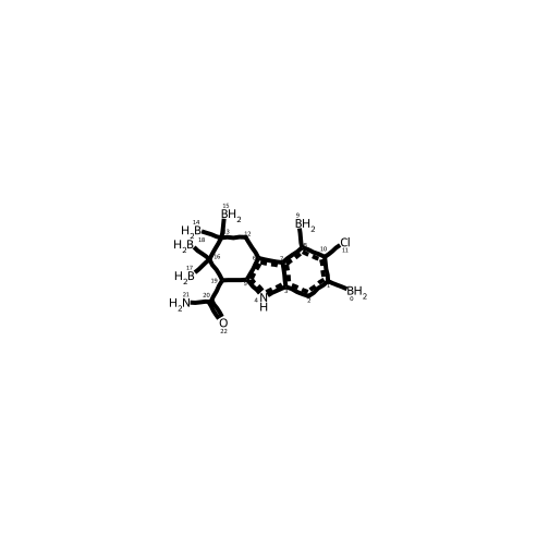 Bc1cc2[nH]c3c(c2c(B)c1Cl)CC(B)(B)C(B)(B)C3C(N)=O